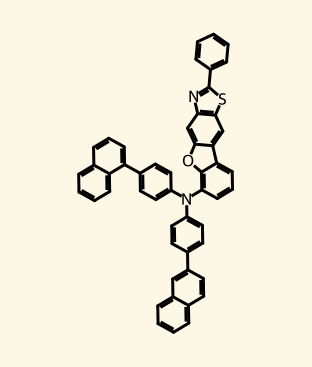 c1ccc(-c2nc3cc4oc5c(N(c6ccc(-c7ccc8ccccc8c7)cc6)c6ccc(-c7cccc8ccccc78)cc6)cccc5c4cc3s2)cc1